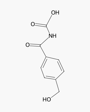 O=C(O)NC(=O)c1ccc(CO)cc1